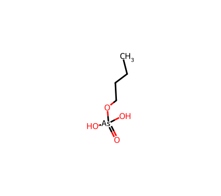 CCCCO[As](=O)(O)O